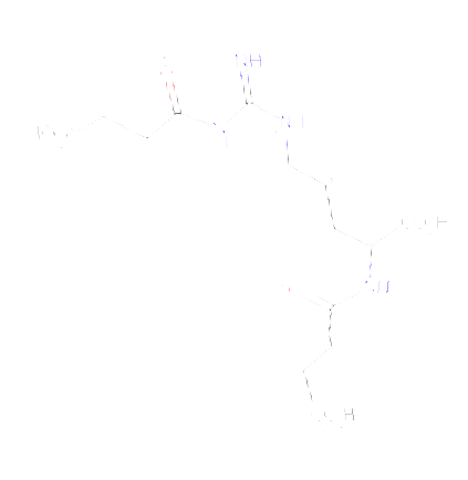 N=C(NCCCC(NC(=O)CCC(=O)O)C(=O)O)NC(=O)CCC(=O)O